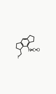 O=C=Nc1c2c(cc3c1C(CI)CC3)CCC2